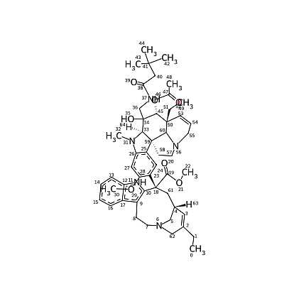 CCC1=C[C@@H]2CN(CCc3c([nH]c4ccccc34)[C@@](C(=O)OC)(c3cc4c(cc3OC)N(C)[C@H]3C(O)(CNC(=O)CC(C)(C)C)[C@H](OC(C)=O)[C@]5(CC)C=CCN6CC[C@]43C65)C2)C1